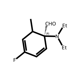 CCN(CC)[C@@]1(C=O)C=CC(F)=CC1C